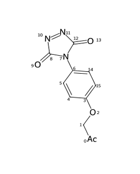 CC(=O)COc1ccc(N2C(=O)N=NC2=O)cc1